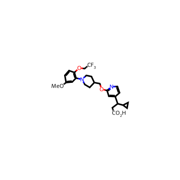 COc1ccc(OCC(F)(F)F)c(N2CCC(COc3cc(C(CC(=O)O)C4CC4)ccn3)CC2)c1